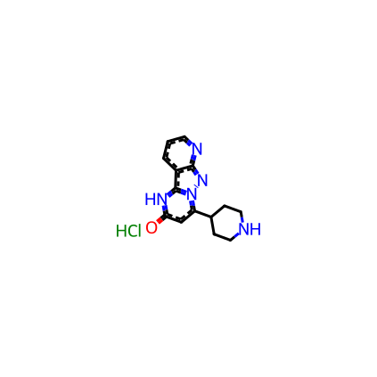 Cl.O=c1cc(C2CCNCC2)n2nc3ncccc3c2[nH]1